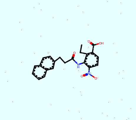 CCc1c(C(=O)O)ccc([N+](=O)[O-])c1NC(=O)CCc1ccc2ccccc2c1